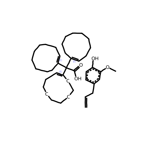 C=CCc1ccc(O)c(OC)c1.O=C(O)C(/C1=C/CCCCCCCC1)(/C1=C/CCCCCCCC1)/C1=C/CCCCCCCC1